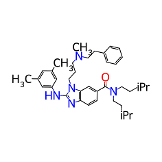 Cc1cc(C)cc(Nc2nc3ccc(C(=O)N(CCC(C)C)CCC(C)C)cc3n2CCCN(C)CCc2ccccc2)c1